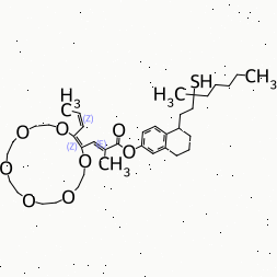 C\C=C/C1=C(\C=C(/C)C(=O)Oc2ccc3c(c2)CCCC3CCC(C)(S)CCCCC)OCCOCCOCCOCCOCCO1